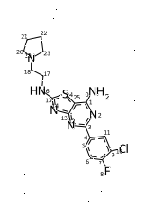 Nc1nc(-c2ccc(F)c(Cl)c2)nc2nc(NCCN3CCCC3)sc12